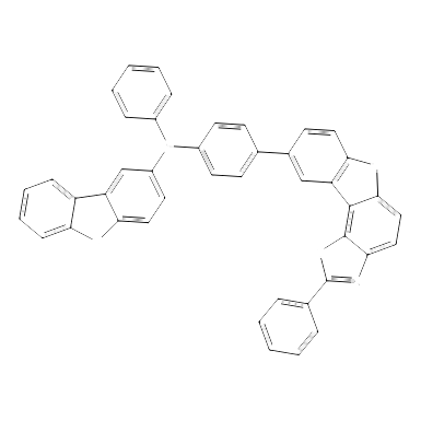 c1ccc(-c2nc3ccc4oc5ccc(-c6ccc(N(c7ccccc7)c7ccc8sc9ccccc9c8c7)cc6)cc5c4c3s2)cc1